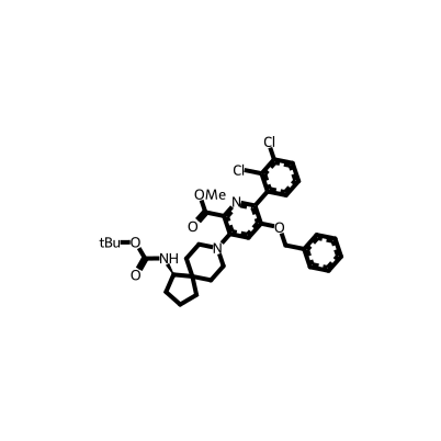 COC(=O)c1nc(-c2cccc(Cl)c2Cl)c(OCc2ccccc2)cc1N1CCC2(CCC[C@H]2NC(=O)OC(C)(C)C)CC1